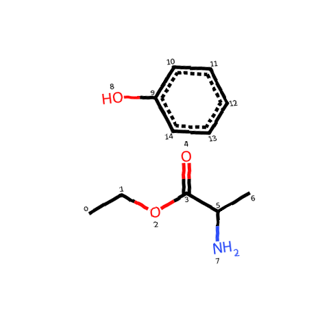 CCOC(=O)C(C)N.Oc1ccccc1